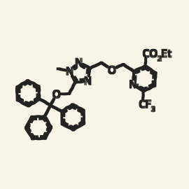 CCOC(=O)c1ccc(C(F)(F)F)nc1COCc1nc(COC(c2ccccc2)(c2ccccc2)c2ccccc2)n(C)n1